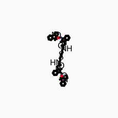 Cc1c(/C=C/C23OCCN2c2ccccc2C3(C)C)c2ccccc2n1CC(=O)NCCSSCCNC(=O)Cn1c(C)c(/C=C/C23OCCN2c2ccccc2C3(C)C)c2ccccc21